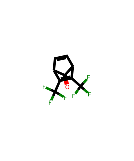 O=C1C2C=CC1C(C(F)(F)F)=C2C(F)(F)F